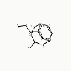 C=CCc1cc2ccc1OCC(C)O2